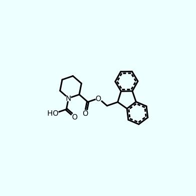 O=C(OCC1c2ccccc2-c2ccccc21)C1CCCCN1C(=O)O